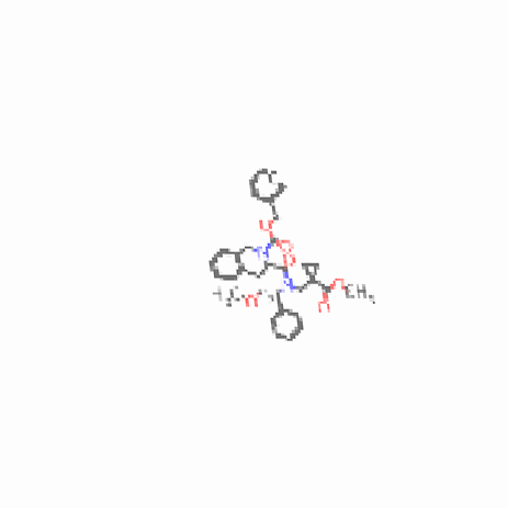 COC[C@@H](c1ccccc1)N(CC1(C(=O)OC)CC1)C(=O)C1Cc2ccccc2CN1C(=O)OCc1ccccc1